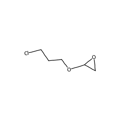 ClCCCOC1CO1